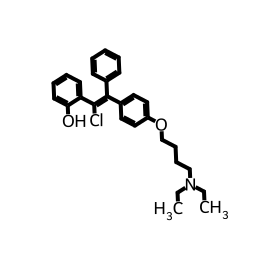 CCN(CC)CCCCOc1ccc(C(=C(Cl)c2ccccc2O)c2ccccc2)cc1